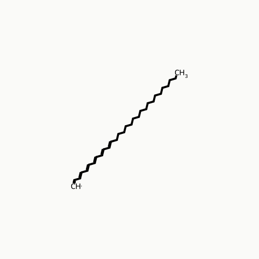 [CH]=CC=CC=CC=CC=CC=CCCCCCCCCCCCCCCCCCC